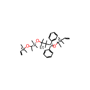 C=C[Si](C)(C)OC(C)[Si](C)(C)OC(C)(CC)C(C)(C)[Si](OC(C)(C)[Si](C)(C)C=C)(c1ccccc1)c1ccccc1